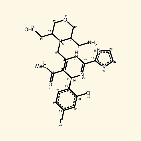 COC(=O)C1=C(CN2C(CN)COCC2CC=O)NC(c2nccs2)=N[C@H]1c1ccc(F)cc1Cl